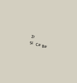 [Ba].[Ca].[Si].[Zr]